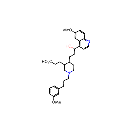 COc1cccc(CCCN2CCC(CC[C@H](O)c3ccnc4ccc(OC)cc34)C(CCC(=O)O)C2)c1